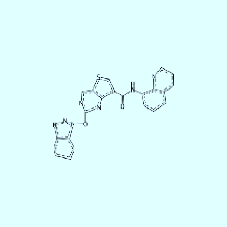 O=C(Nc1cccc2cccnc12)c1csc2cnc(On3nnc4ccccc43)nc12